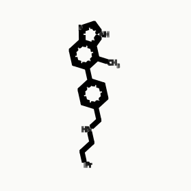 Cc1c(-c2ccc(CNCCC(C)C)cc2)ccc2nc[nH]c12